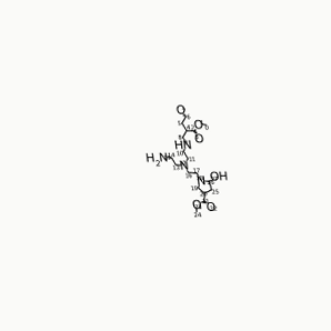 COC(=O)C(CC=O)CNCCN(CCN)CCN1CC(C(=O)OC)C[C@@H]1O